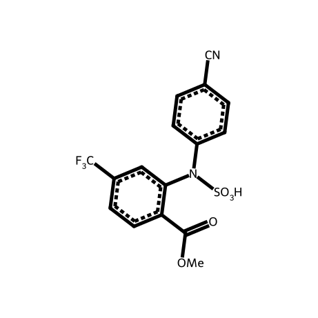 COC(=O)c1ccc(C(F)(F)F)cc1N(c1ccc(C#N)cc1)S(=O)(=O)O